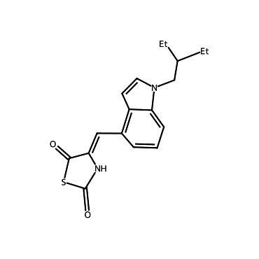 CCC(CC)Cn1ccc2c(C=C3NC(=O)SC3=O)cccc21